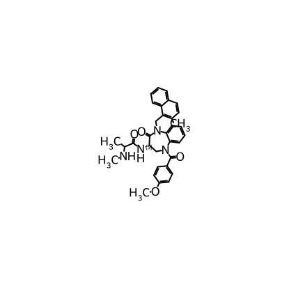 CNC(C)C(=O)N[C@H]1CN(C(=O)c2ccc(OC)cc2)c2ccccc2N(Cc2c(C)ccc3ccccc23)C1=O